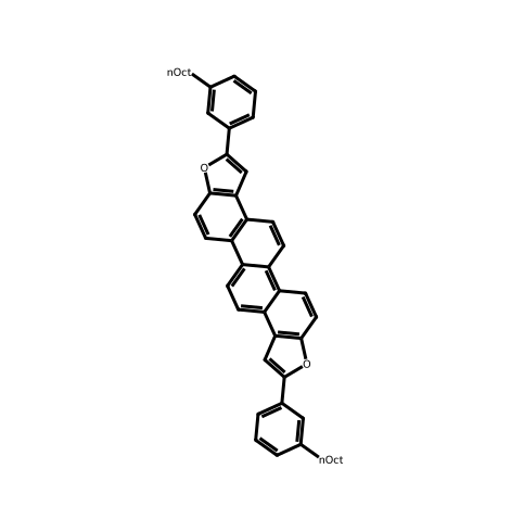 CCCCCCCCc1cccc(-c2cc3c(ccc4c3ccc3c5ccc6oc(-c7cccc(CCCCCCCC)c7)cc6c5ccc43)o2)c1